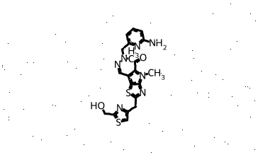 CN(Cc1cccc(N)n1)/N=C\c1c(C=O)n(C)c2nc(Cc3csc(CO)n3)sc12